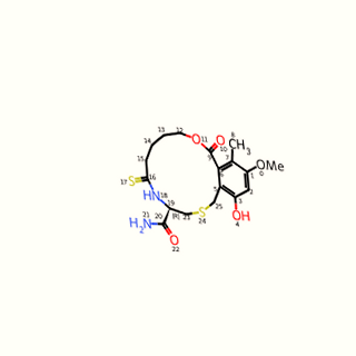 COc1cc(O)c2c(c1C)C(=O)OCCCCC(=S)N[C@H](C(N)=O)CSC2